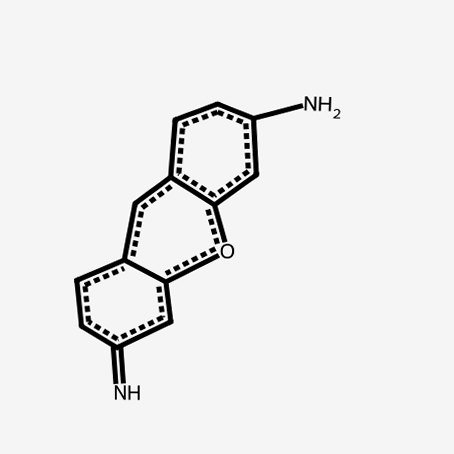 N=c1ccc2cc3ccc(N)cc3oc-2c1